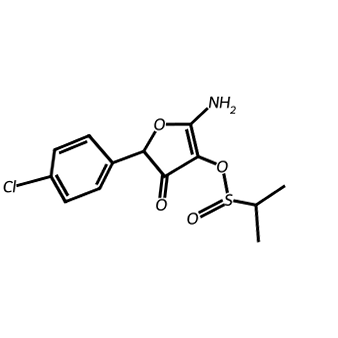 CC(C)S(=O)OC1=C(N)OC(c2ccc(Cl)cc2)C1=O